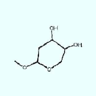 COC1CC(O)C(O)CO1